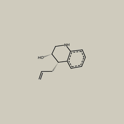 C=CC[C@H]1c2ccccc2NC[C@H]1O